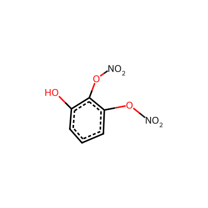 O=[N+]([O-])Oc1cccc(O)c1O[N+](=O)[O-]